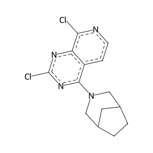 Clc1nc(N2CC3CCC(C3)C2)c2ccnc(Cl)c2n1